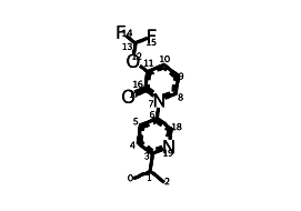 CC(C)c1ccc(-n2cccc(OC(F)F)c2=O)cn1